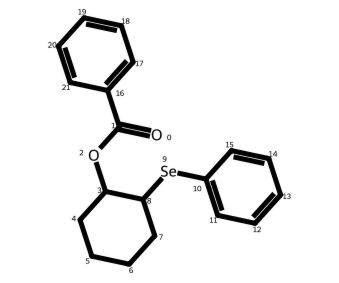 O=C(OC1CCCCC1[Se]c1ccccc1)c1ccccc1